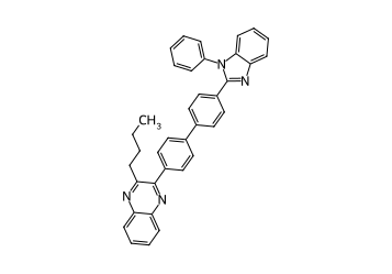 CCCCc1nc2ccccc2nc1-c1ccc(-c2ccc(-c3nc4ccccc4n3-c3ccccc3)cc2)cc1